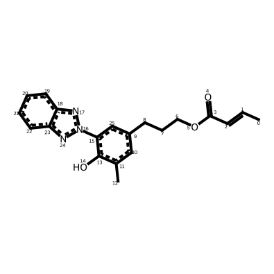 CC=CC(=O)OCCCc1cc(C)c(O)c(-n2nc3ccccc3n2)c1